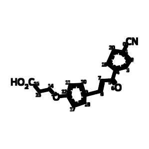 N#Cc1ccc(C(=O)C=Cc2ccc(OCCC(=O)O)cc2)cc1